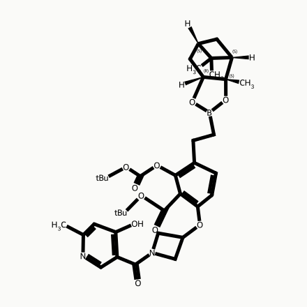 Cc1cc(O)c(C(=O)N2CC(Oc3ccc(CCB4O[C@@H]5C[C@@H]6C[C@@H](C6(C)C)[C@]5(C)O4)c(OC(=O)OC(C)(C)C)c3C(=O)OC(C)(C)C)C2)cn1